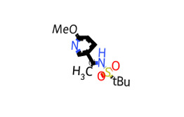 COc1ccc([C@H](C)NS(=O)(=O)C(C)(C)C)cn1